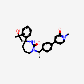 C[C@@H](c1ccc(-c2ccn(C)c(=O)c2)cc1)N1CCC[C@](CC(C)(C)O)(c2ccccc2)NC1=O